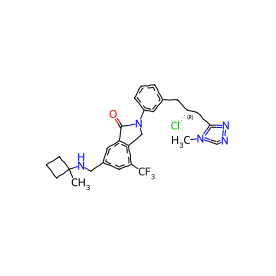 Cn1cnnc1C[C@H](Cl)Cc1cccc(N2Cc3c(cc(CNC4(C)CCC4)cc3C(F)(F)F)C2=O)c1